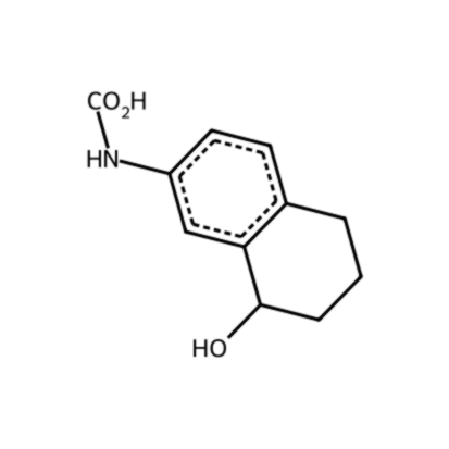 O=C(O)Nc1ccc2c(c1)C(O)CCC2